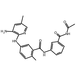 CC(=O)NC(=O)c1cccc(NC(=O)c2cc(Nc3ncc(C)cc3N)ccc2C)c1